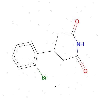 O=C1CC(c2ccccc2Br)CC(=O)N1